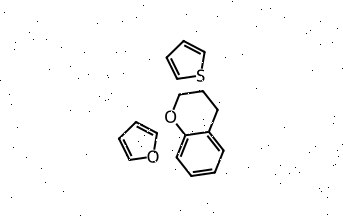 c1ccc2c(c1)CCCO2.c1ccoc1.c1ccsc1